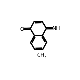 C.N=C1C=CC(=O)c2ccccc21